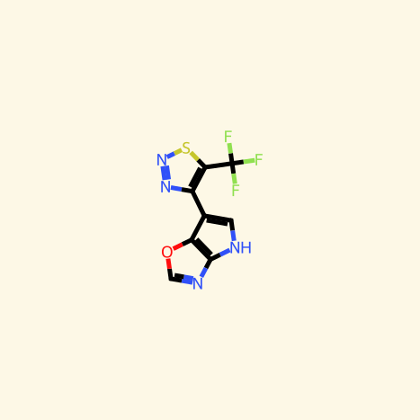 FC(F)(F)c1snnc1-c1c[nH]c2ncoc12